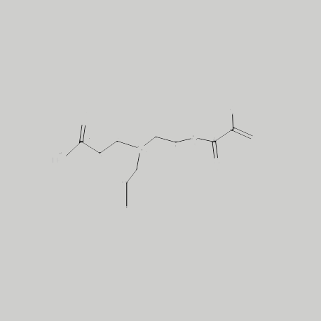 C=C(C)C(=O)NCCN(CCO)CCC(=O)O